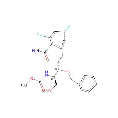 CC(C)(C)OC(=O)N[C@H](CO)[C@H](CCc1cc(F)cc(F)c1C(N)=O)OCc1ccccc1